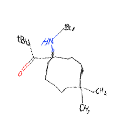 CC1(C)CCC(NC(C)(C)C)(C(=O)C(C)(C)C)CC1